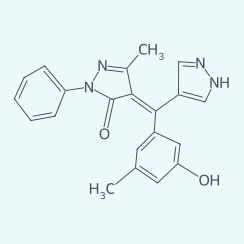 CC1=NN(c2ccccc2)C(=O)C1=C(c1cn[nH]c1)c1cc(C)cc(O)c1